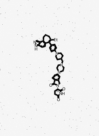 CCC1=C(c2ccc(N3CCC(CN4CCN(c5ccc6c(c5)CN([C@H]5CCC(=O)NC5=O)C6=O)CC4)CC3)cc2)c2ccc3[nH]ncc3c2CCC1